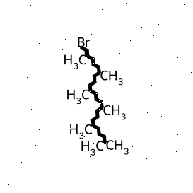 C/C(=C\CBr)CCCC(C)CCCC(C)CCCC(C)CCCC(C)CCCC(C)C